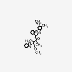 CCOCC/C(=C(/SC)N(CC)C(=O)/C=C(\C=C1Nc2cc(OCC)c(C)cc2S1)c1ccccc1)c1nc2ccccc2s1